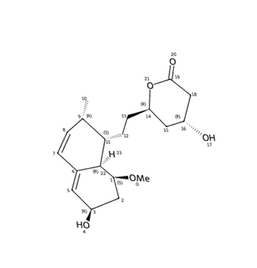 CO[C@H]1C[C@@H](O)C=C2C=C[C@H](C)[C@H](CC[C@@H]3C[C@@H](O)CC(=O)O3)[C@H]21